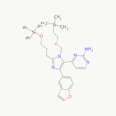 CC(C)[Si](OCCCc1nc(-c2ccc3occc3c2)c(-c2ccnc(N)n2)n1COCC[Si](C)(C)C)(C(C)C)C(C)C